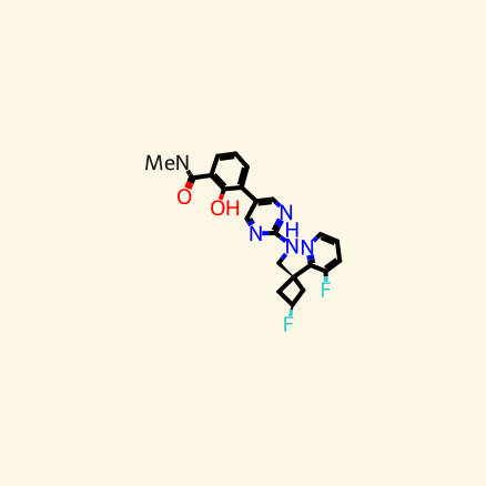 CNC(=O)c1cccc(-c2cnc(NC[C@]3(c4ncccc4F)C[C@H](F)C3)nc2)c1O